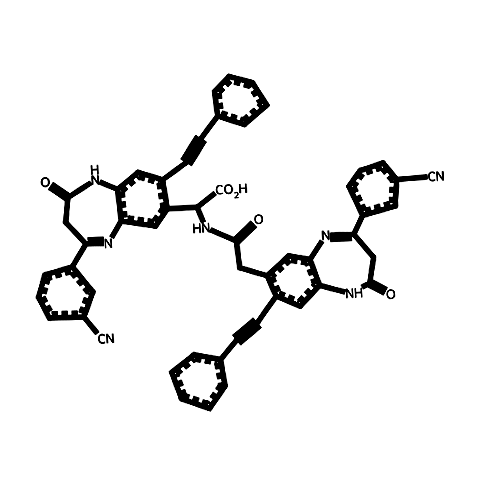 N#Cc1cccc(C2=Nc3cc(CC(=O)NC(C(=O)O)c4cc5c(cc4C#Cc4ccccc4)NC(=O)CC(c4cccc(C#N)c4)=N5)c(C#Cc4ccccc4)cc3NC(=O)C2)c1